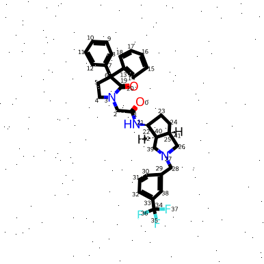 O=C(CN1CCC(c2ccccc2)(c2ccccc2)C1=O)N[C@H]1CC[C@H]2CN(Cc3cccc(C(F)(F)F)c3)C[C@H]21